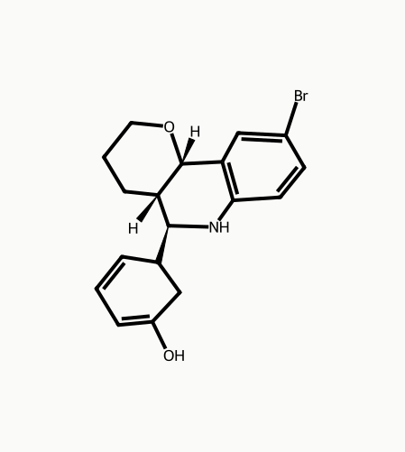 OC1=CC=CC([C@@H]2Nc3ccc(Br)cc3[C@H]3OCCC[C@H]32)C1